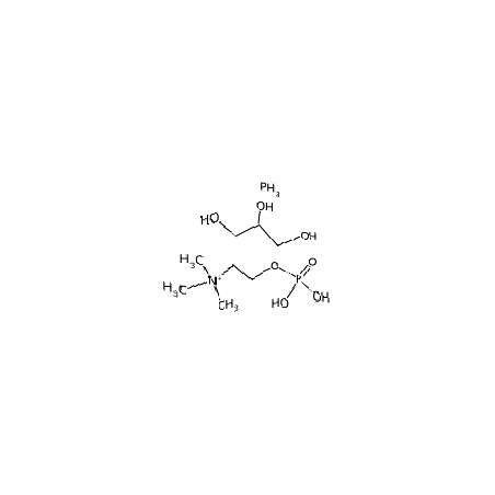 C[N+](C)(C)CCOP(=O)(O)O.OCC(O)CO.P